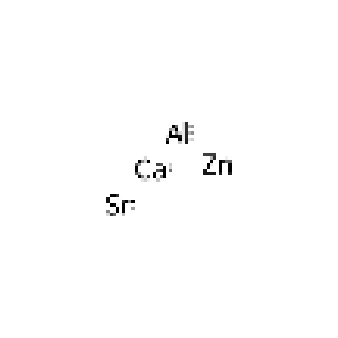 [Al].[Ca].[Sr].[Zn]